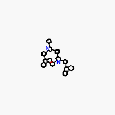 C=c1cccc/c1=C/C(=C1\C=CC=CC1)c1cccc(-c2cc(-c3cccc(-c4cc(-c5ccccc5)nc(-c5cccc(-c6cc7ccccc7c7ccccc67)c5)c4)c3)cc(-c3ccccc3)n2)c1